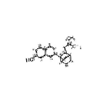 CN(C)CC1=C(c2ccc3ccc(O)cc3c2)C2CCC1CC2